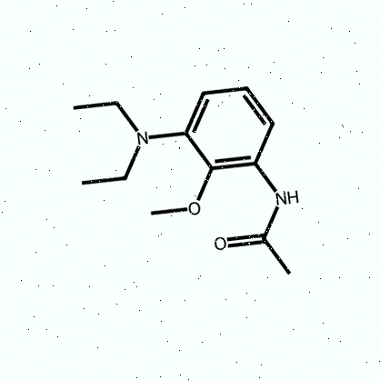 CCN(CC)c1cccc(NC(C)=O)c1OC